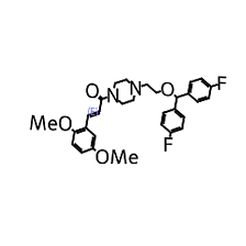 COc1ccc(OC)c(/C=C/C(=O)N2CCN(CCOC(c3ccc(F)cc3)c3ccc(F)cc3)CC2)c1